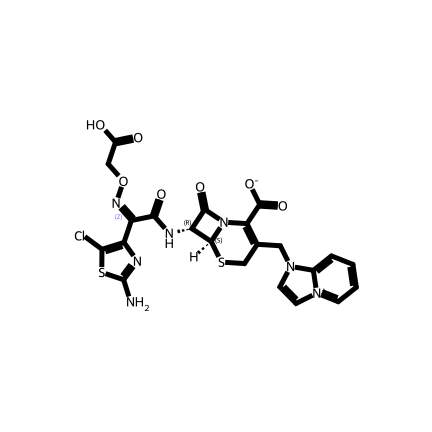 Nc1nc(/C(=N/OCC(=O)O)C(=O)N[C@@H]2C(=O)N3C(C(=O)[O-])=C(Cn4cc[n+]5ccccc45)CS[C@@H]23)c(Cl)s1